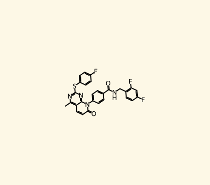 Cc1nc(Sc2ccc(F)cc2)nc2c1ccc(=O)n2-c1ccc(C(=O)NCc2ccc(F)cc2F)cc1